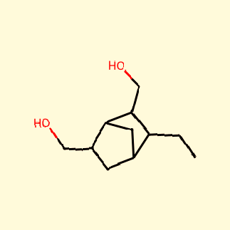 CCC1C2CC(CO)C(C2)C1CO